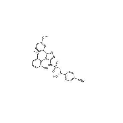 COC1=NC(c2nnc(NS(=O)(=O)C[C@@H](O)c3ccc(C#N)cn3)n2-c2c(O)cccc2OC)=C=C=C1